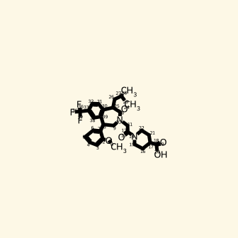 COc1ccccc1C1CN(CC(=O)N2CCC(C(=O)O)CC2)C(=O)C(CC(C)C)c2ccc(C(F)(F)F)cc21